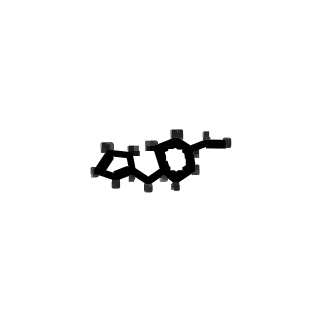 C=Cc1ccc(CC2=CC=CC2)cc1